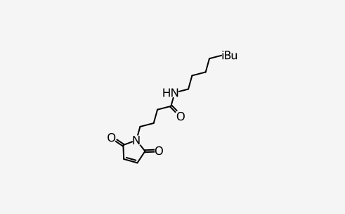 CCC(C)CCCCNC(=O)CCCN1C(=O)C=CC1=O